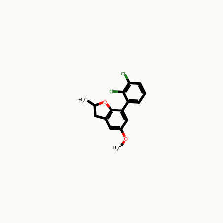 [CH2]C1Cc2cc(OC)cc(-c3cccc(Cl)c3Cl)c2O1